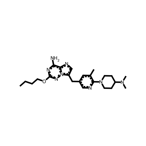 CCCCOc1nc(N)c2ncc(Cc3cnc(N4CCC(N(C)C)CC4)c(C)c3)n2n1